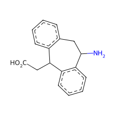 NC1Cc2ccccc2C(CC(=O)O)c2ccccc21